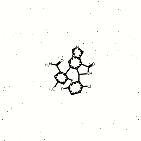 NC(=O)c1cc(C(F)(F)F)cc(F)c1-c1cn2cncc2c2c1C(c1cc(F)ccc1Cl)NC2=O